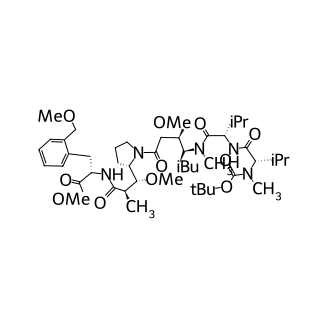 CC[C@H](C)[C@@H]([C@@H](CC(=O)N1CCC[C@H]1[C@H](OC)[C@@H](C)C(=O)N[C@@H](Cc1ccccc1COC)C(=O)OC)OC)N(C)C(=O)[C@@H](NC(=O)[C@H](C(C)C)N(C)C(=O)OC(C)(C)C)C(C)C